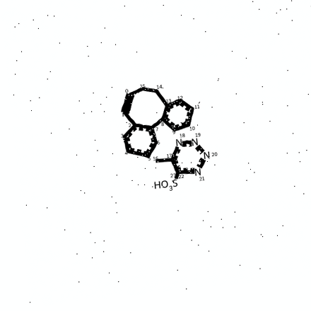 C1#Cc2ccccc2-c2ccccc2CC1.Cc1nnnnc1S(=O)(=O)O